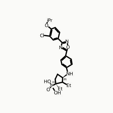 CCC1[C@H](Nc2ccc(-c3nc(-c4ccc(OC(C)C)c(Cl)c4)no3)cc2)CC[C@]1(CC)P(=O)(O)O